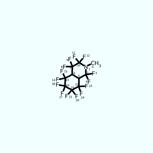 CN1C(F)(F)C2C(C(F)(F)C1(F)F)C(F)(F)C(F)(F)C(F)(F)C2(F)F